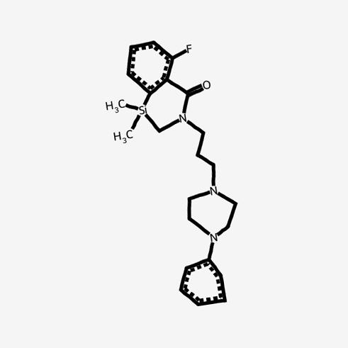 C[Si]1(C)CN(CCCN2CCN(c3ccccc3)CC2)C(=O)c2c(F)cccc21